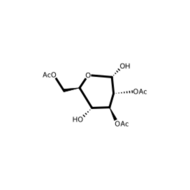 CC(=O)OC[C@H]1O[C@H](O)[C@H](OC(C)=O)[C@@H](OC(C)=O)[C@@H]1O